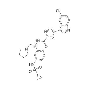 O=C(N[C@H](CN1CCCC1)c1cc(NS(=O)(=O)C2CC2)ccn1)c1ncc(-c2cnn3ccc(Cl)cc23)s1